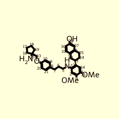 COc1cc(NCCCc2ccc(OCC3(N)CCCC3)cc2)c([C@@H]2CCc3cc(O)ccc3C2)cc1OC